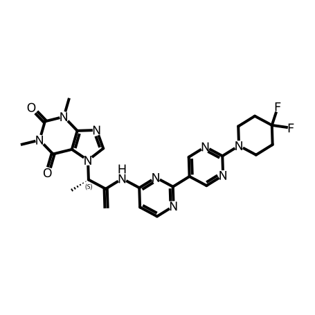 C=C(Nc1ccnc(-c2cnc(N3CCC(F)(F)CC3)nc2)n1)[C@H](C)n1cnc2c1c(=O)n(C)c(=O)n2C